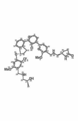 COc1nc(-c2ccnc(-c3cccc4c3CC[C@@H]4Oc3nc(OC)c(CNC[C@H](C)O)cc3C(F)(F)F)c2Cl)ccc1CNC[C@H]1CCC(=O)N1